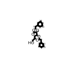 OCC1OC(Cc2ccccc2)OC2C1OC1OC(Cc3ccccc3)OC12